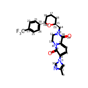 Cc1cn(-c2ccc3n(c2=O)CCN(C[C@@H]2CCC[C@@H](c4ccc(C(F)(F)F)cc4)O2)C3=O)cn1